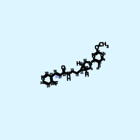 COc1ncc(F)c(N2C[C@@H]3C(CCNC(=O)/C=C/c4cnccc4F)[C@@H]3C2)n1